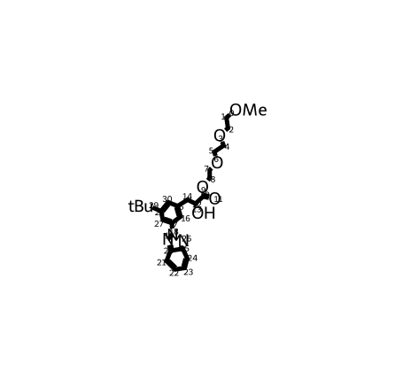 COCCOCCOCCOC(=O)C(O)Cc1cc(-n2nc3ccccc3n2)cc(C(C)(C)C)c1